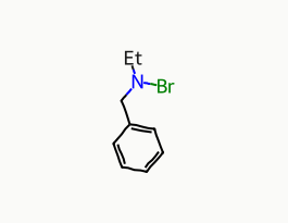 CCN(Br)Cc1ccccc1